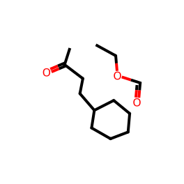 CC(=O)CCC1CCCCC1.CCOC=O